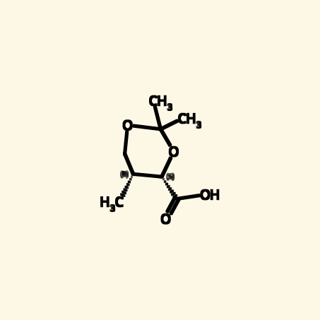 C[C@@H]1COC(C)(C)O[C@@H]1C(=O)O